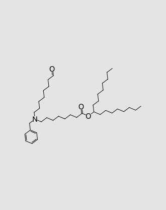 CCCCCCCCC(CCCCCCCC)OC(=O)CCCCCCCN(CCCCCCCC=O)Cc1ccccc1